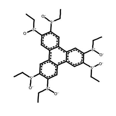 CC[S+]([O-])c1cc2c3cc([S+]([O-])CC)c([S+]([O-])CC)cc3c3cc([S+]([O-])CC)c([S+]([O-])CC)cc3c2cc1[S+]([O-])CC